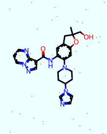 CC1(CO)Cc2cc(NC(=O)c3cnn4cccnc34)c(N3CCC(n4ccnc4)CC3)cc2O1